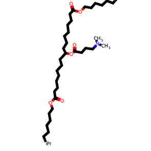 CC(C)CCCCCCOC(=O)CCCCCCCC(CCCCCCCC(=O)OCCCCCCC(C)C)OC(=O)CCCN(C)C